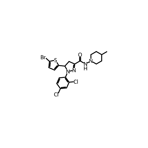 CC1CCN(NC(=O)C2=NN(c3ccc(Cl)cc3Cl)C(c3ccc(Br)s3)C2)CC1